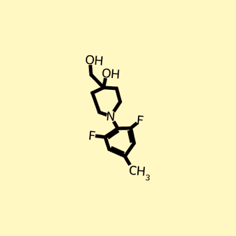 Cc1cc(F)c(N2CCC(O)(CO)CC2)c(F)c1